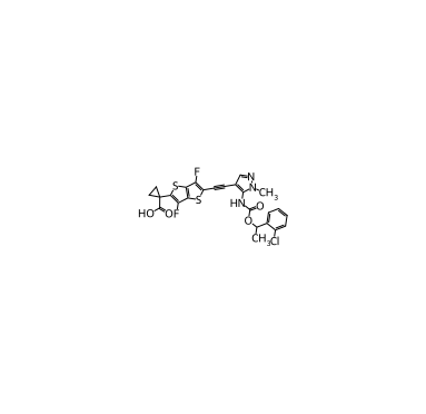 CC(OC(=O)Nc1c(C#Cc2sc3c(F)c(C4(C(=O)O)CC4)sc3c2F)cnn1C)c1ccccc1Cl